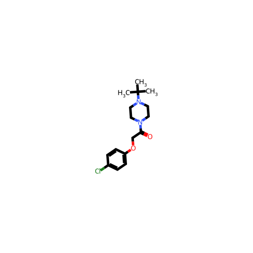 CC(C)(C)N1CCN(C(=O)COc2ccc(Cl)cc2)CC1